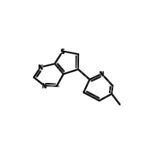 Cc1ccc(-c2csc3ncn[c]c23)nc1